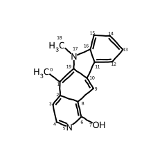 Cc1c2ccnc(O)c2cc2c3ccccc3n(C)c12